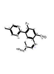 CCCCCN(C)/C=N\c1cc(-c2ncc(C)cn2)c(F)cc1C=O